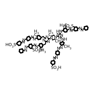 Cc1cc(Cc2nc(Cc3ccc(N=Nc4ccc(N=Nc5ccccc5)cc4S(=O)(=O)O)c(C)c3)nc(N3CC(C)N(c4nc(Nc5ccc(N=Nc6ccc(N=Nc7ccc(S(=O)(=O)O)cc7)cc6)c(C)c5)nc(Nc5ccc(N=Nc6ccc(N=Nc7ccccc7)cc6S(=O)(=O)O)c(C)c5)n4)CC3C)n2)ccc1N=Nc1ccc(N=Nc2ccc(S(=O)(=O)O)cc2)cc1